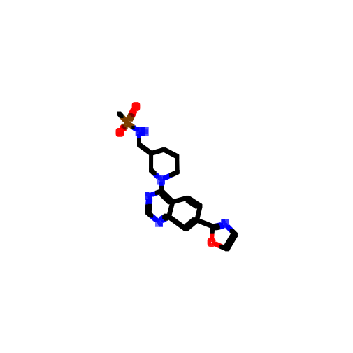 CS(=O)(=O)NCC1CCCN(c2ncnc3cc(-c4ncco4)ccc23)C1